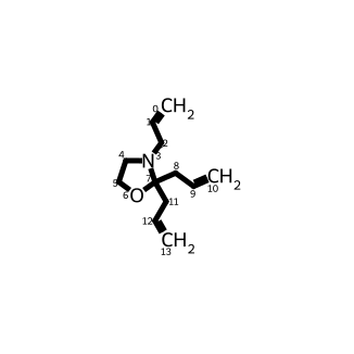 C=C[CH]N1CCOC1(CC=C)CC=C